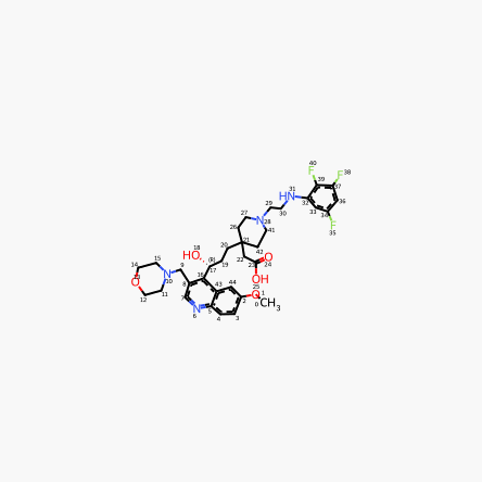 COc1ccc2ncc(CN3CCOCC3)c([C@H](O)CCC3(CC(=O)O)CCN(CCNc4cc(F)cc(F)c4F)CC3)c2c1